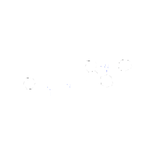 c1ccc(CNC2CCN(CCOc3cccc4c3c3ccccc3n4Cc3ccccc3)CC2)cc1